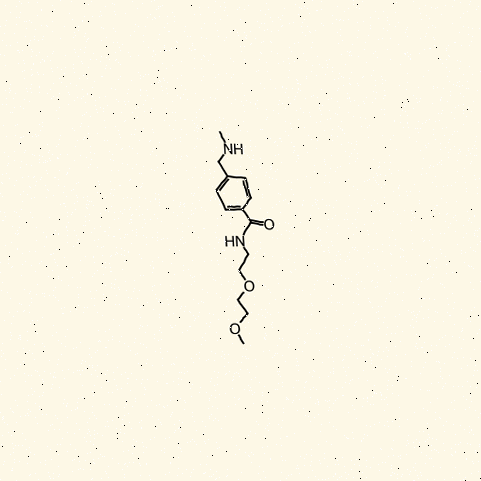 CNCc1ccc(C(=O)NCCOCCOC)cc1